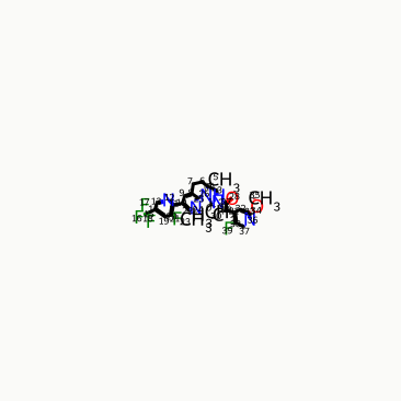 CCN(C[C@@]1(C)CCc2cc(-c3ncc(C(F)(F)F)cc3F)c(C)nc2N1)C(=O)[C@H](C)c1cc(OC)ncc1F